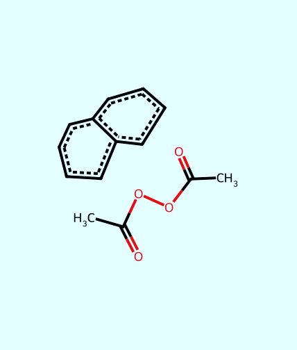 CC(=O)OOC(C)=O.c1ccc2ccccc2c1